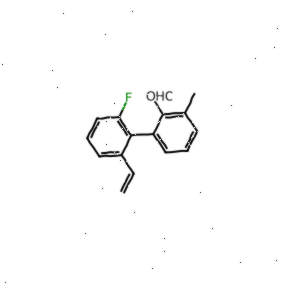 C=Cc1cccc(F)c1-c1cccc(C)c1C=O